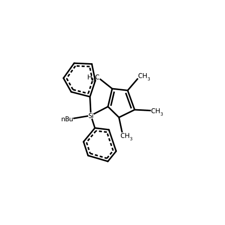 CCCC[Si](C1=C(C)C(C)=C(C)C1C)(c1ccccc1)c1ccccc1